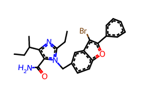 CCc1nc(C(C)CC)c(C(N)=O)n1Cc1ccc2oc(-c3ccccc3)c(Br)c2c1